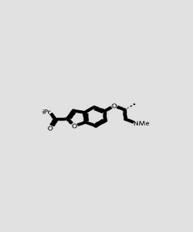 CNC[C@@H](C)Oc1ccc2oc(C(=O)C(C)C)cc2c1